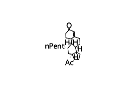 CCCCC[C@H]1C[C@]2(C)[C@@H](C(C)=O)CC[C@H]2[C@@H]2CCC3=CC(=O)CC[C@@H]3[C@@H]12